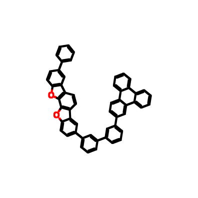 c1ccc(-c2ccc3oc4c(ccc5c6cc(-c7cccc(-c8cccc(-c9ccc%10c%11ccccc%11c%11ccccc%11c%10c9)c8)c7)ccc6oc54)c3c2)cc1